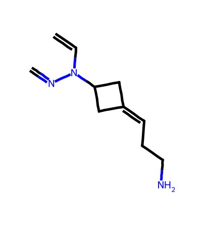 C=CN(N=C)C1CC(=CCCN)C1